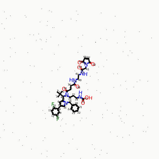 CC(C)(C)C(c1cc(-c2cc(F)ccc2F)cn1Cc1ccccc1)N(CCCNC(=O)O)C(=O)CCC(=O)NCCNC(=O)CN1C(=O)C=CC1=O